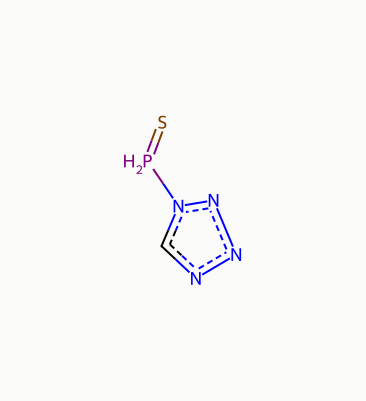 S=[PH2]n1cnnn1